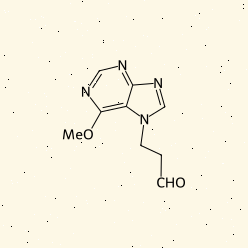 COc1ncnc2ncn(CCC=O)c12